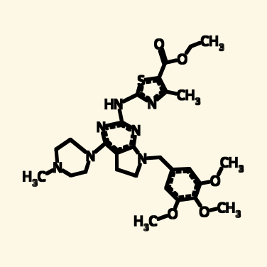 CCOC(=O)c1sc(Nc2nc(N3CCN(C)CC3)c3c(n2)N(Cc2cc(OC)c(OC)c(OC)c2)CC3)nc1C